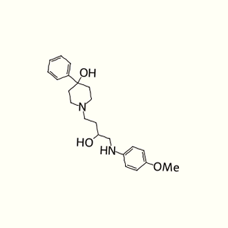 COc1ccc(NCC(O)CCN2CCC(O)(c3ccccc3)CC2)cc1